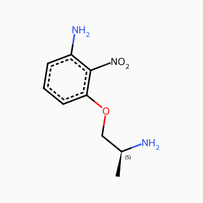 C[C@H](N)COc1cccc(N)c1[N+](=O)[O-]